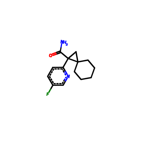 NC(=O)C1(c2ccc(F)cn2)CC12CCCCC2